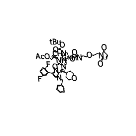 CC(=O)OC[C@@H](C)NC(=O)N(C[C@@H]1CN(C(=O)OC(C)(C)C)C[C@H]1OC(=O)NCCOCCN1C(=O)C=CC1=O)[C@@H](c1nc(-c2cc(F)ccc2F)cn1Cc1ccccc1)C1CCOCC1